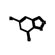 O=C1CC(Br)=Cc2csnc21